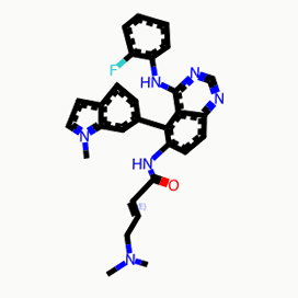 CN(C)C/C=C/C(=O)Nc1ccc2ncnc(Nc3ccccc3F)c2c1-c1ccc2ccn(C)c2c1